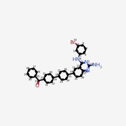 Nc1nc(Nc2cccc(Br)c2)c2cc(-c3ccc(-c4ccc(C(=O)c5ccccc5)cc4)cc3)ccc2n1